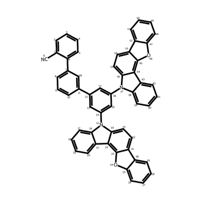 N#Cc1ccccc1-c1cccc(-c2cc(-n3c4ccccc4c4c5oc6ccccc6c5ccc43)cc(-n3c4ccccc4c4c5oc6ccccc6c5ccc43)c2)c1